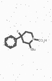 CC(C)(C)C1CC(F)(c2ccccc2)CCN1C(=O)O